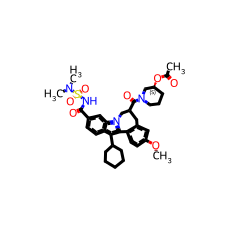 COc1ccc2c(c1)CC(C(=O)N1CCC[C@H](OC(C)=O)C1)Cn1c-2c(C2CCCCC2)c2ccc(C(=O)NS(=O)(=O)N(C)C)cc21